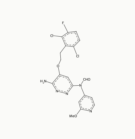 COc1cc(N(C=O)c2cc(OCCc3c(Cl)ccc(F)c3Cl)c(N)nn2)ccn1